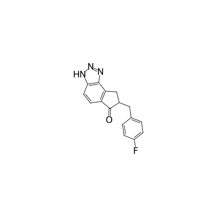 O=C1c2ccc3[nH]nnc3c2CC1Cc1ccc(F)cc1